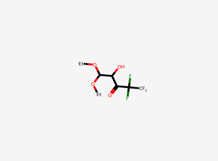 CCOC(OCC)C(O)C(=O)C(F)(F)C(F)(F)F